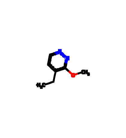 [CH2]Cc1ccnnc1OC